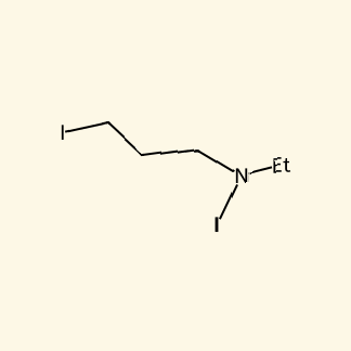 CCN(I)CCCI